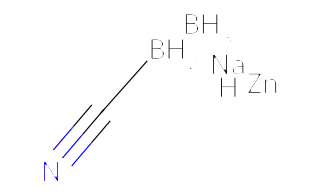 B.BC#N.[NaH].[Zn]